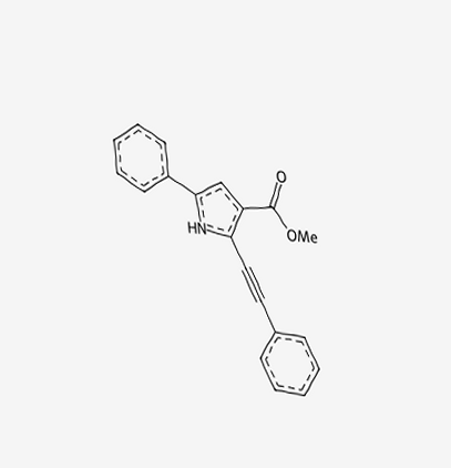 COC(=O)c1cc(-c2ccccc2)[nH]c1C#Cc1ccccc1